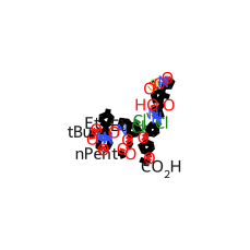 CC(Oc1ccc(Oc2ccc(Cl)cc2Cl)cc1)C(=O)O.CCCCCC(C)OC(=O)COc1ccc(Cl)c2cccnc12.CCc1cc(C)cc(CC)c1-c1c(OC(=O)C(C)(C)C)n2n(c1=O)CCOCC2.Cc1c(C(=O)c2cnn(C)c2O)ccc(S(C)(=O)=O)c1C1=NOCC1